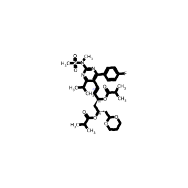 CC(C)C(=O)O[C@@H](CC1OCCCO1)C[C@@H](/C=C/c1c(-c2ccc(F)cc2)nc(N(C)S(C)(=O)=O)nc1C(C)C)OC(=O)C(C)C